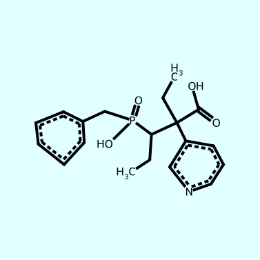 CCC(C(CC)(C(=O)O)c1cccnc1)P(=O)(O)Cc1ccccc1